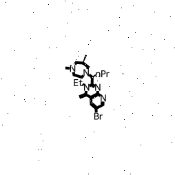 C=C1c2cc(Br)cnc2N=C([C@H](CCC)N2CCN(C)C[C@@H](C)C2)N1CC